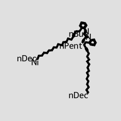 CCCCCC#CC(=Nc1ccccc1CCC#CCCCCCCCCCCCCCCCCCCCCCCCCC)C(CCCC)=Nc1ccccc1CCC#CCCCCCCCCCCCCCCCCCCCCCCCCC.[Ni]